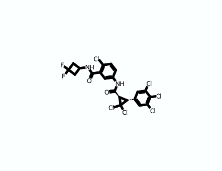 O=C(NC1CC(F)(F)C1)c1cc(NC(=O)[C@H]2[C@H](c3cc(Cl)c(Cl)c(Cl)c3)C2(Cl)Cl)ccc1Cl